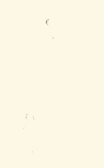 Cl[Si](Cl)(Cl)CCCCCCOCC1CO1